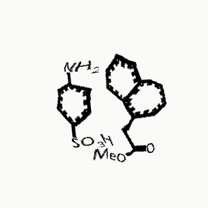 COC(=O)Cc1cccc2ccccc12.Nc1ccc(S(=O)(=O)O)cc1